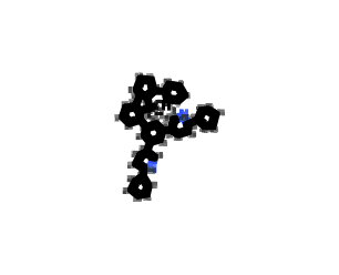 CC1(C)c2c(-c3ccccc3)cccc2-c2cccc(-c3cc(-c4ccc(-c5ccccc5)nc4)cc(-c4ccc(-c5ccccc5)nc4)c3)c21